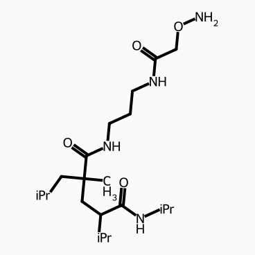 CC(C)CC(C)(CC(C(=O)NC(C)C)C(C)C)C(=O)NCCCNC(=O)CON